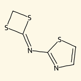 c1csc(N=C2SCS2)n1